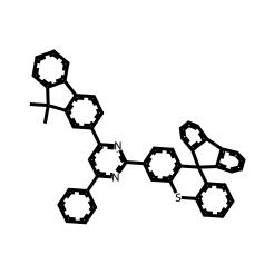 CC1(C)c2ccccc2-c2ccc(-c3cc(-c4ccccc4)nc(-c4ccc5c(c4)Sc4ccccc4C54c5ccccc5-c5ccccc54)n3)cc21